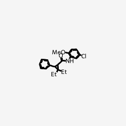 CCC1(CC)C(C(=O)Nc2cc(Cl)ccc2OC)C1c1ccccc1